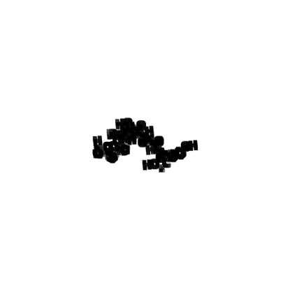 CC[C@H](C)[C@H](NC(=O)[C@@H]1CCCN1C(=O)[C@@H]1CCCN1C(=O)[C@@H]1CCCN1)C(=O)N[C@@H](CO)C(=O)NCC(=O)NCC(=O)NCC(=O)N[C@@H](Cc1ccc(O)cc1)C(=O)O